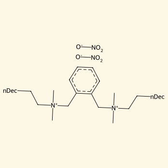 CCCCCCCCCCCC[N+](C)(C)Cc1ccccc1C[N+](C)(C)CCCCCCCCCCCC.O=[N+]([O-])[O-].O=[N+]([O-])[O-]